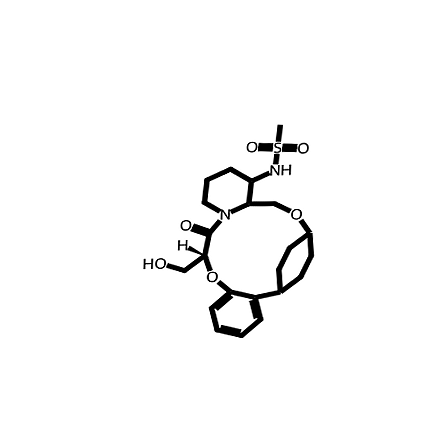 CS(=O)(=O)NC1CCCN2C(=O)[C@@H](CO)Oc3ccccc3C3CCC(CC3)OCC12